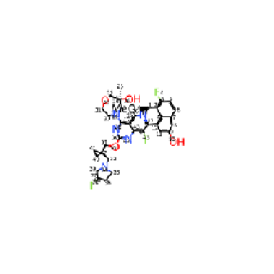 C#Cc1c(F)ccc2cc(O)cc(-c3nc(OC)c4c(N5CCOC[C@@](C)(O)C5)nc(OCC5(CN6CC[C@@H](F)C6)CC5)nc4c3F)c12